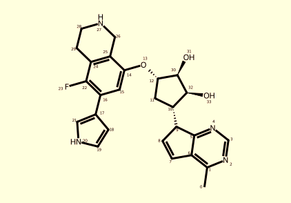 Cc1ncnc2c1C=CC2[C@@H]1C[C@H](Oc2cc(-c3cc[nH]c3)c(F)c3c2CNCC3)[C@@H](O)[C@H]1O